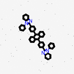 C1=CC2N=C(c3ccc(-c4c5ccccc5c(-c5ccc(-c6nc7ccccc7n6-c6ccccc6)cc5)c5ccccc45)cc3)N(c3ccccc3)C2C=C1